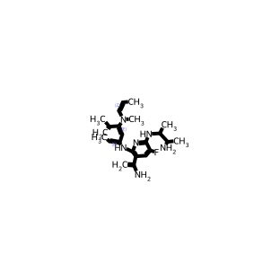 C=C(C)/C(=C\C(=C/C)Nc1nc(NC(C)C(C)N)c(F)cc1C(=C)N)N(C)/C=C\C